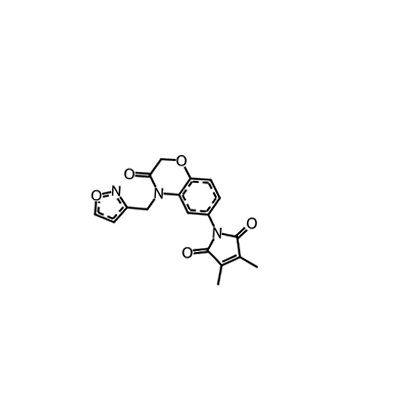 CC1=C(C)C(=O)N(c2ccc3c(c2)N(Cc2ccon2)C(=O)CO3)C1=O